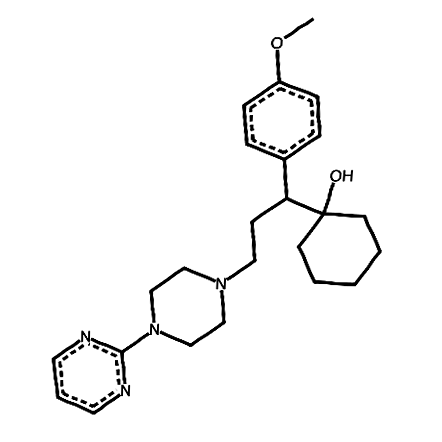 COc1ccc(C(CCN2CCN(c3ncccn3)CC2)C2(O)CCCCC2)cc1